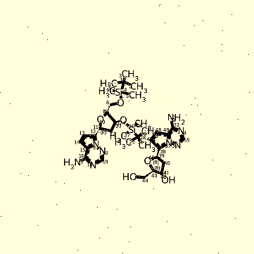 CC(C)(C)[Si](C)(C)OC[C@H]1O[C@@H](c2ccc3c(N)ncnn23)C[C@@H]1O[Si](C)(C)C(C)(C)C.Nc1ncnn2c([C@H]3C[C@H](O)[C@@H](CO)O3)ccc12